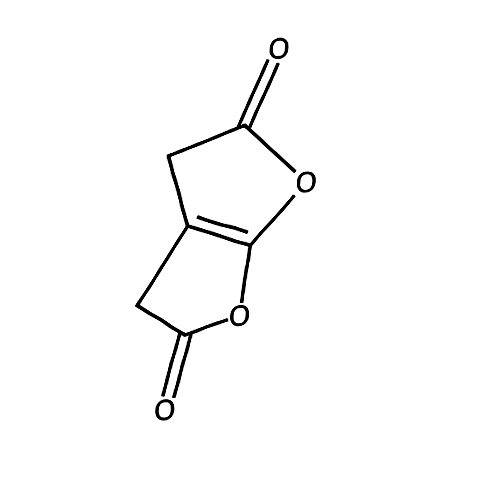 O=C1CC2=C(O1)OC(=O)C2